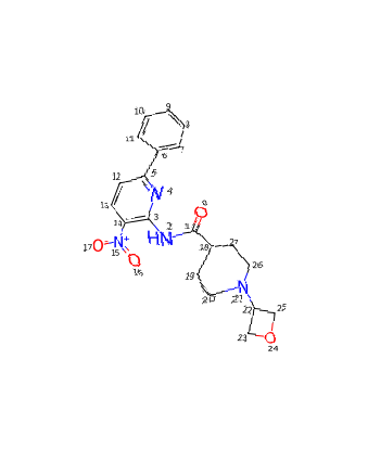 O=C(Nc1nc(-c2ccccc2)ccc1[N+](=O)[O-])C1CCN(C2COC2)CC1